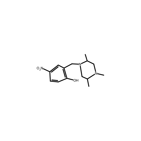 CC1CN(Cc2cc([N+](=O)[O-])ccc2O)C(C)CN1C